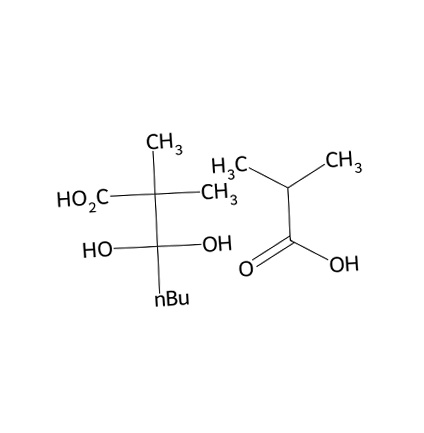 CC(C)C(=O)O.CCCCC(O)(O)C(C)(C)C(=O)O